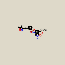 COC(=O)c1ccc(NS(=O)(=O)c2cccc(C#Cc3noc(C)c3C)c2)c2c1C(=O)NC2